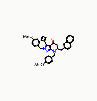 COc1ccc(CN2c3nn(Cc4ccc(OC)cc4)c(C4=CC=C4)c3C(=O)CC2Cc2ccc3ccccc3c2)cc1